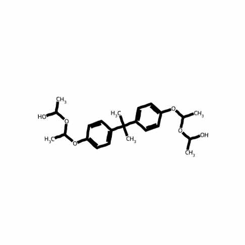 CC(O)OC(C)Oc1ccc(C(C)(C)c2ccc(OC(C)OC(C)O)cc2)cc1